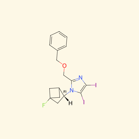 FC12CC(C1)[C@H](n1c(COCc3ccccc3)nc(I)c1I)C2